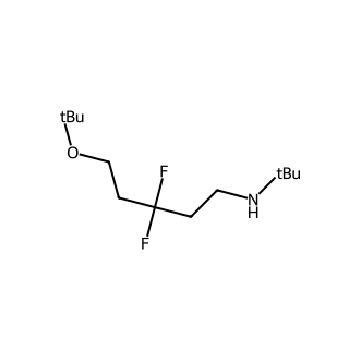 CC(C)(C)NCCC(F)(F)CCOC(C)(C)C